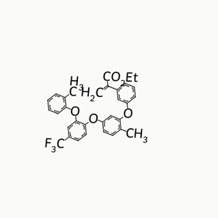 C=C(C(=O)OCC)c1cccc(Oc2cc(Oc3ccc(C(F)(F)F)cc3Oc3ccccc3C)ccc2C)c1